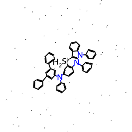 c1ccc(-c2cc(-c3ccccc3)cc(N(c3ccccc3)c3ccc4c(c3)[SiH2]c3c(n(-c5ccccc5)c5ccccc35)N4c3ccccc3)c2)cc1